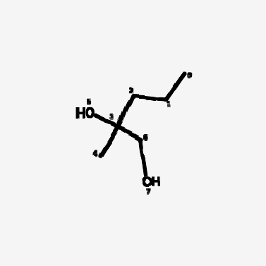 CCCC(C)(O)CO